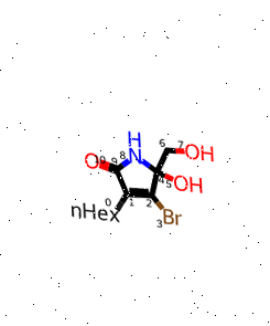 CCCCCCC1=C(Br)C(O)(CO)NC1=O